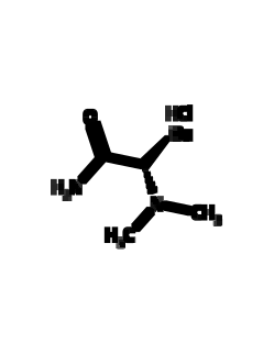 CC[C@H](C)[C@@H](C(N)=O)N(C)C.Cl